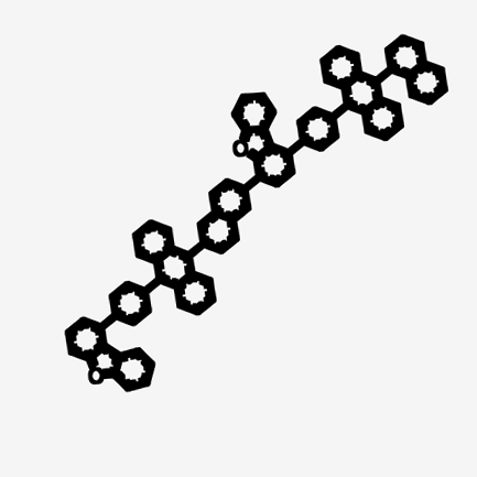 c1ccc2c(-c3c4ccccc4c(-c4ccc(-c5ccc(-c6ccc7cc(-c8c9ccccc9c(-c9ccc(-c%10cccc%11oc%12ccccc%12c%10%11)cc9)c9ccccc89)ccc7c6)c6oc7ccccc7c56)cc4)c4ccccc34)cccc2c1